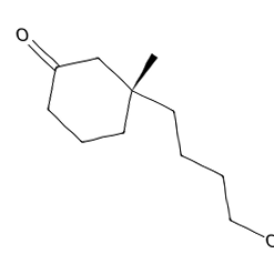 C[C@@]1(CCCCO)CCCC(=O)C1